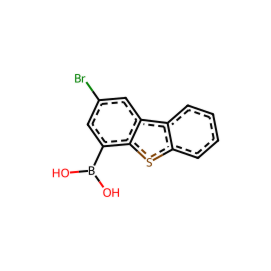 OB(O)c1cc(Br)cc2c1sc1ccccc12